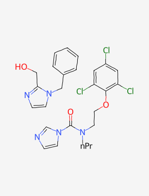 CCCN(CCOc1c(Cl)cc(Cl)cc1Cl)C(=O)n1ccnc1.OCc1nccn1Cc1ccccc1